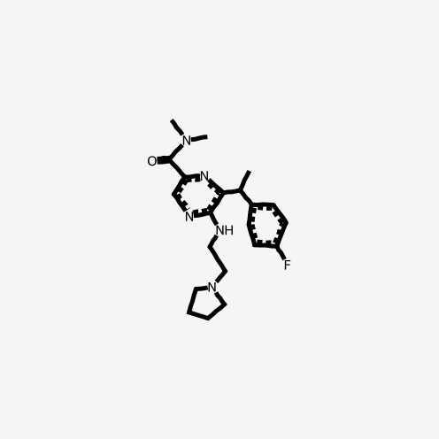 CC(c1ccc(F)cc1)c1nc(C(=O)N(C)C)cnc1NCCN1CCCC1